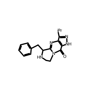 CC(C)c1n[nH]c2c(=O)n3c(nc12)C(Cc1ccccc1)NCC3